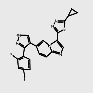 Fc1ccc(-c2n[nH]cc2-c2ccc3ncc(-c4nnc(C5CC5)s4)n3c2)c(F)c1